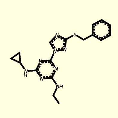 CCNc1nc(NC2CC2)nc(-n2cnc(SCc3ccccc3)n2)n1